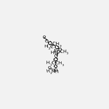 CCC(C)(CC(O)COc1ccc(C(C)(C)c2ccc(OC(N)(CC)CC3CO3)cc2)cc1)Oc1ccc(C(C)(C)c2ccc(OCC3CO3)cc2)cc1